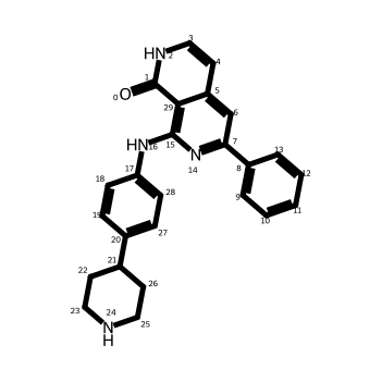 O=c1[nH]ccc2cc(-c3ccccc3)nc(Nc3ccc(C4CCNCC4)cc3)c12